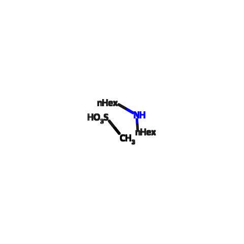 CCCCCCNCCCCCC.CS(=O)(=O)O